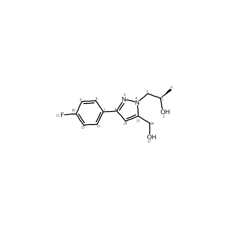 C[C@@H](O)Cn1nc(-c2ccc(F)cc2)cc1CO